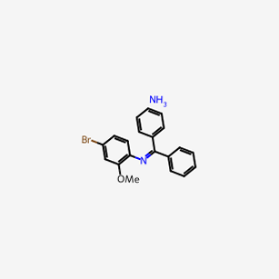 COc1cc(Br)ccc1N=C(c1ccccc1)c1ccccc1.N